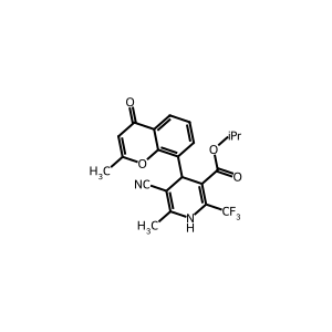 CC1=C(C#N)C(c2cccc3c(=O)cc(C)oc23)C(C(=O)OC(C)C)=C(C(F)(F)F)N1